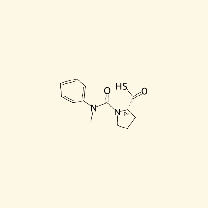 CN(C(=O)N1CCC[C@H]1C(=O)S)c1ccccc1